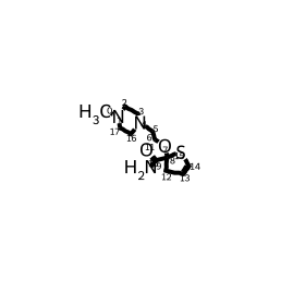 CN1CCN(CCOC2(C(N)=O)CC=CS2)CC1